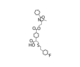 Cc1oc(-c2ccccc2)nc1CCOC(=O)c1ccc(C(CSCCc2ccc(F)cc2)C(=O)O)cc1